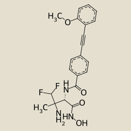 COc1ccccc1C#Cc1ccc(C(=O)N[C@H](C(=O)NO)C(C)(N)C(F)F)cc1